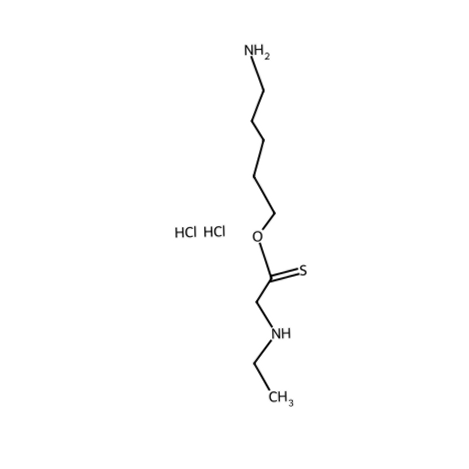 CCNCC(=S)OCCCCCN.Cl.Cl